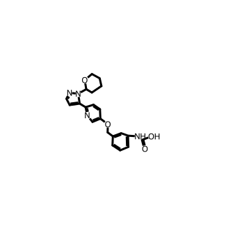 O=C(O)Nc1cccc(COc2ccc(-c3ccnn3C3CCCCO3)nc2)c1